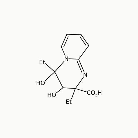 CCC1(C(=O)O)N=C2C=CC=CN2C(O)(CC)C1O